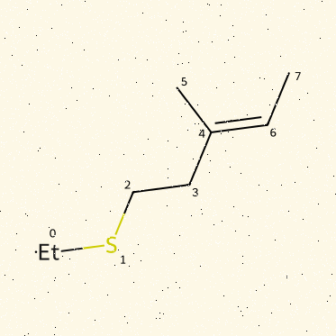 C[CH]SCC/C(C)=C/C